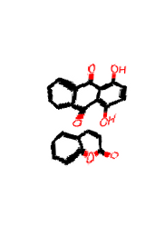 O=C1c2ccccc2C(=O)c2c(O)ccc(O)c21.O=c1ccc2ccccc2o1